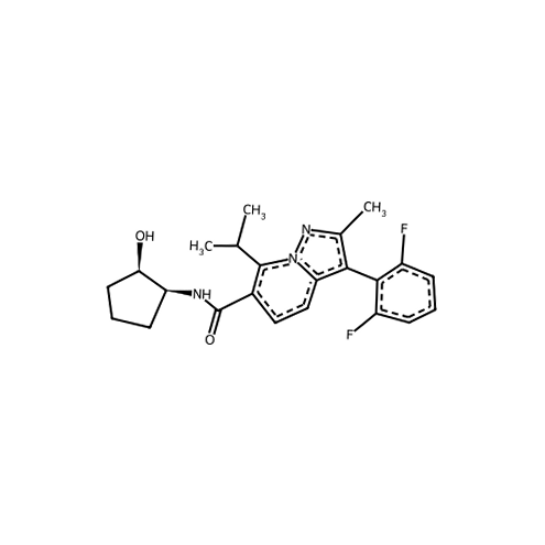 Cc1nn2c(C(C)C)c(C(=O)N[C@H]3CCC[C@H]3O)ccc2c1-c1c(F)cccc1F